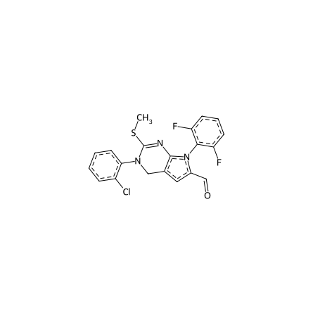 CSC1=Nc2c(cc(C=O)n2-c2c(F)cccc2F)CN1c1ccccc1Cl